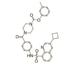 Cc1cccc(OC(=O)N2CCN(C(=O)c3ccc(NS(=O)(=O)c4cccc5cc(C6CCC6)cnc45)cc3)CC2)c1